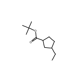 [CH2]CC1C[CH]C(C(=O)OC(C)(C)C)C1